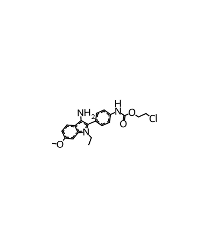 CCn1c(-c2ccc(NC(=O)OCCCl)cc2)c(N)c2ccc(OC)cc21